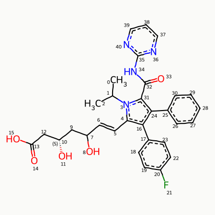 CC(C)n1c(C=CC(O)C[C@H](O)CC(=O)O)c(-c2ccc(F)cc2)c(-c2ccccc2)c1C(=O)Nc1ncccn1